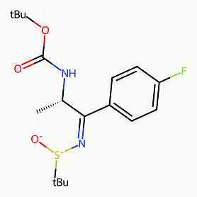 C[C@H](NC(=O)OC(C)(C)C)C(=N[S+]([O-])C(C)(C)C)c1ccc(F)cc1